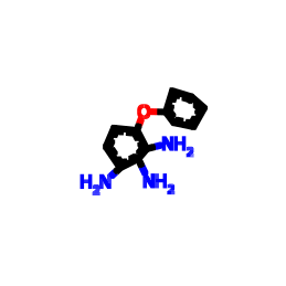 Nc1ccc(Oc2ccccc2)c(N)c1N